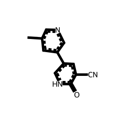 Cc1cncc(-c2c[nH]c(=O)c(C#N)c2)c1